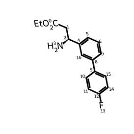 CCOC(=O)C[C@H](N)c1cccc(-c2ccc(F)cc2)c1